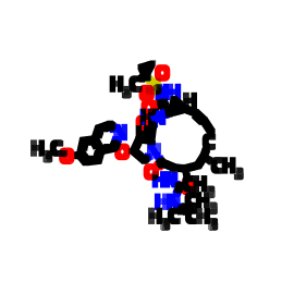 COc1ccc2c(O[C@@H]3C[C@H]4C(=O)N[C@]5(C(=O)NS(=O)(=O)C6(C)CC6)C[C@H]5C=CCC[C@@H](C)C[C@@H](C)[C@H](NC(=O)NC(C)(C)C)C(=O)N4C3)nccc2c1